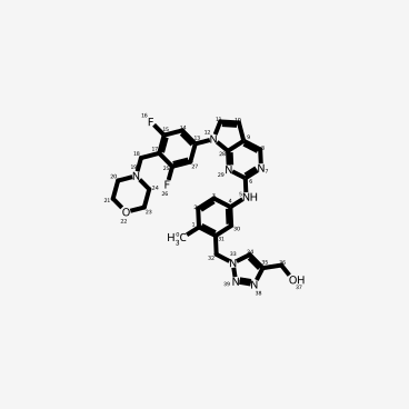 Cc1ccc(Nc2ncc3ccn(-c4cc(F)c(CN5CCOCC5)c(F)c4)c3n2)cc1Cn1cc(CO)nn1